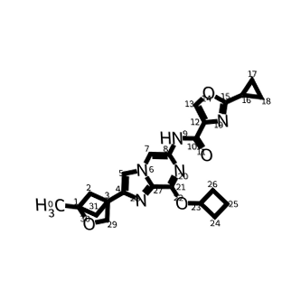 CC12CC(c3cn4cc(NC(=O)c5coc(C6CC6)n5)nc(OC5CCC5)c4n3)(CO1)C2